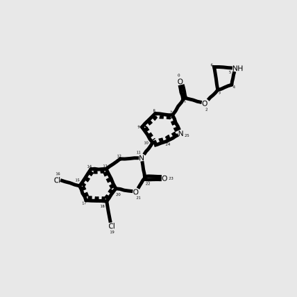 O=C(OC1CNC1)c1ccc(N2Cc3cc(Cl)cc(Cl)c3OC2=O)cn1